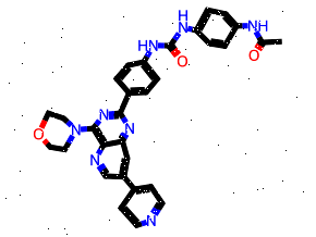 CC(=O)Nc1ccc(NC(=O)Nc2ccc(-c3nc(N4CCOCC4)c4ncc(-c5ccncc5)cc4n3)cc2)cc1